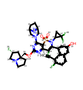 C#Cc1c(F)ccc2cc(O)cc(C3=C(F)c4nc(OC[C@@]56CCCN5C[C@H](F)C6)nc(N5CC6CCC(C5)N6)c4S(=O)(=O)N3C3CC3(F)F)c12